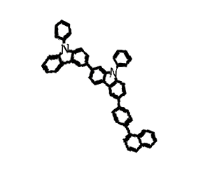 c1ccc(-n2c3ccccc3c3cc(-c4ccc5c6cc(-c7ccc(-c8cccc9ccccc89)cc7)ccc6n(-c6ccccc6)c5c4)ccc32)cc1